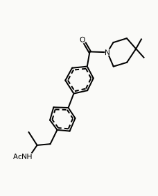 CC(=O)NC(C)Cc1ccc(-c2ccc(C(=O)N3CCC(C)(C)CC3)cc2)cc1